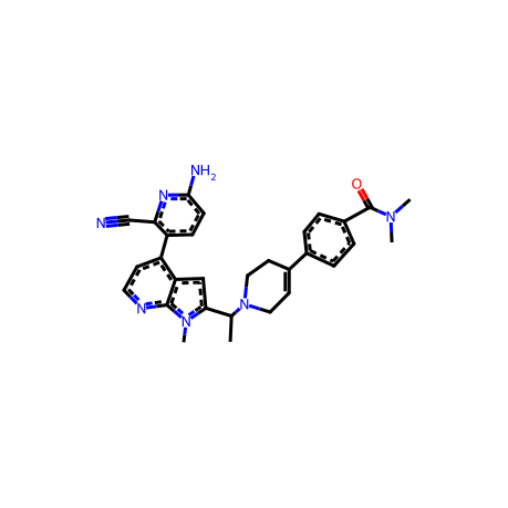 CC(c1cc2c(-c3ccc(N)nc3C#N)ccnc2n1C)N1CC=C(c2ccc(C(=O)N(C)C)cc2)CC1